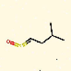 CC(C)[CH]C=S=O